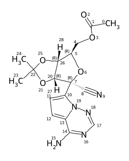 CC(=O)OC[C@H]1O[C@@](C#N)(c2ccc3c(N)ncnn23)[C@@H]2OC(C)(C)O[C@@H]21